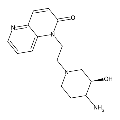 NC1CCN(CCn2c(=O)ccc3ncccc32)C[C@H]1O